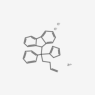 C=CCCC(C1=CC=CC1)(c1ccccc1)C1c2ccccc2-c2ccccc21.[Cl-].[Cl-].[Zr+2]